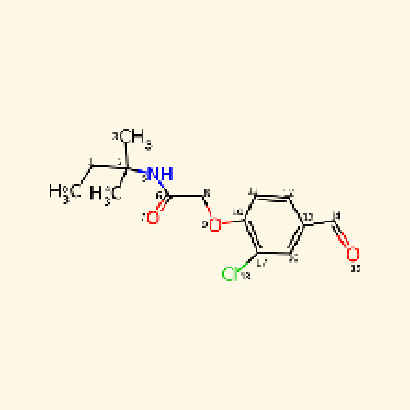 CCC(C)(C)NC(=O)COc1ccc(C=O)cc1Cl